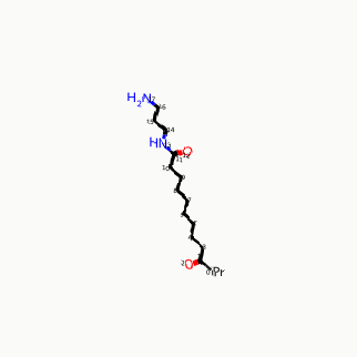 CC(C)C(=O)CCCCCCCCC(=O)NCCCN